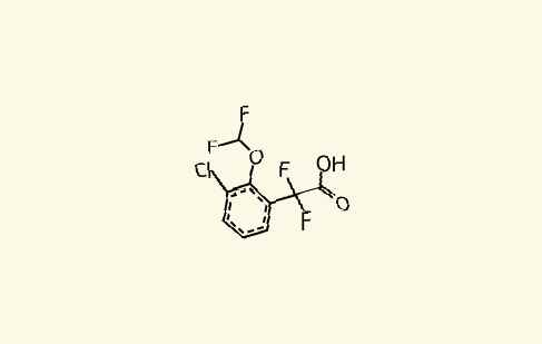 O=C(O)C(F)(F)c1cccc(Cl)c1OC(F)F